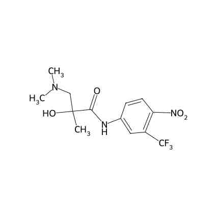 CN(C)CC(C)(O)C(=O)Nc1ccc([N+](=O)[O-])c(C(F)(F)F)c1